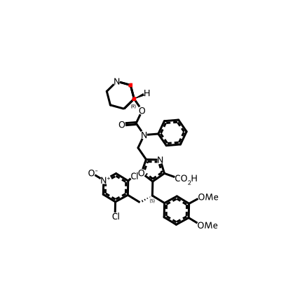 COc1ccc([C@H](Cc2c(Cl)c[n+]([O-])cc2Cl)c2oc(CN(C(=O)O[C@H]3CN4CCC3CC4)c3ccccc3)nc2C(=O)O)cc1OC